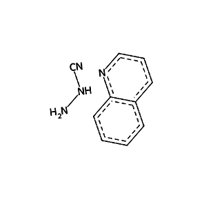 N#CNN.c1ccc2ncccc2c1